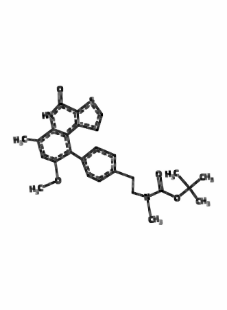 COc1cc(C)c2[nH]c(=O)c3sccc3c2c1-c1ccc(CCN(C)C(=O)OC(C)(C)C)cc1